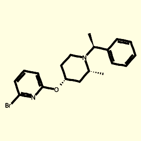 C[C@@H]1C[C@H](Oc2cccc(Br)n2)CCN1[C@@H](C)c1ccccc1